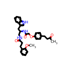 COc1ccccc1CCC(=O)NCC(Cc1c[nH]c2ccccc12)NC(=O)COc1ccc(CCC(C)=O)cc1